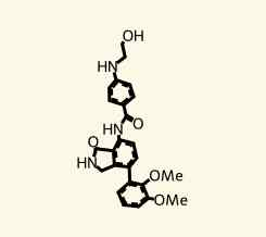 COc1cccc(-c2ccc(NC(=O)c3ccc(NCCO)cc3)c3c2CNC3=O)c1OC